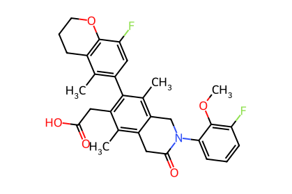 COc1c(F)cccc1N1Cc2c(C)c(-c3cc(F)c4c(c3C)CCCO4)c(CC(=O)O)c(C)c2CC1=O